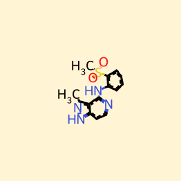 Cc1n[nH]c2ccnc(Nc3ccccc3S(C)(=O)=O)c12